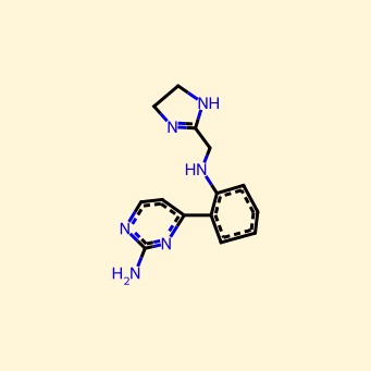 Nc1nccc(-c2ccccc2NCC2=NCCN2)n1